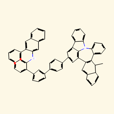 CC1C2=C(C=C3C=CC=CC31)c1cc(-c3ccc(-c4cccc(-c5ccccc5Nc5cc6ccccc6cc5-c5ccccc5)c4)cc3)cc3c4ccccc4n(c13)-c1ccccc12